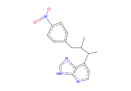 CC(Cc1ccc([N+](=O)[O-])cc1)C(C)c1ccnc2[nH]cnc12